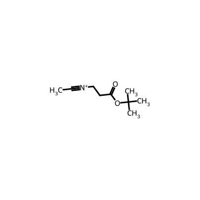 CC#[N+]CCC(=O)OC(C)(C)C